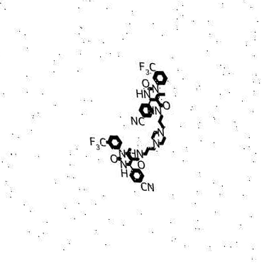 CC1=C(C(=O)NCCCN2CCN(CCCNC(=O)C3=C(C)N(c4cccc(C(F)(F)F)c4)C(=O)N[C@@H]3c3ccc(C#N)cc3)CC2)[C@@H](c2ccc(C#N)cc2)NC(=O)N1c1cccc(C(F)(F)F)c1